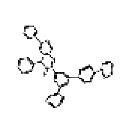 c1ccc(-c2ccc(-c3cc(C4=Nc5ccc(-c6ccccc6)cc5C(c5ccccc5)N4)cc(-c4ccccc4)c3)cc2)cc1